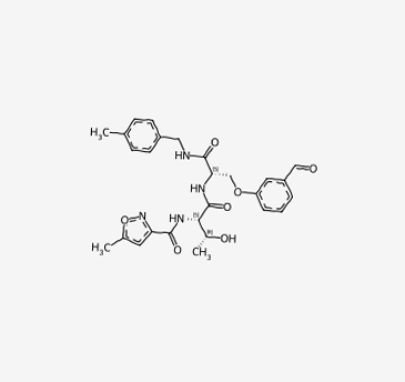 Cc1ccc(CNC(=O)[C@H](COc2cccc(C=O)c2)NC(=O)[C@@H](NC(=O)c2cc(C)on2)[C@@H](C)O)cc1